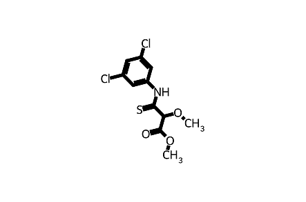 COC(=O)C(OC)C(=S)Nc1cc(Cl)cc(Cl)c1